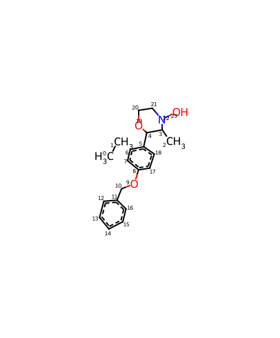 CC.CC1C(c2ccc(OCc3ccccc3)cc2)OCCN1O